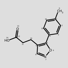 Cc1ccc(-c2oncc2CCC(=O)O)cc1